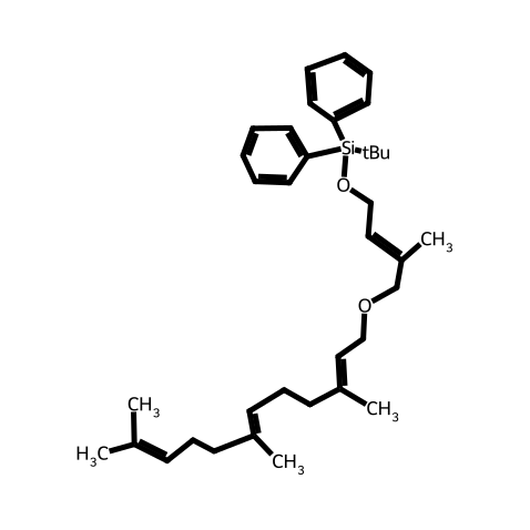 CC(C)=CCC/C(C)=C/CC/C(C)=C/COC/C(C)=C/CO[Si](c1ccccc1)(c1ccccc1)C(C)(C)C